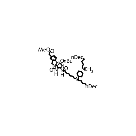 CCCCCCCCCCCCCCN(C)[C@H]1CC[C@@H](N(CCCCCCCCCCCCCC)CCCCCC(=O)Nc2nc(OCCCC)nc3c2[nH]c(=O)n3Cc2cccc(CC(=O)OC)c2)CC1